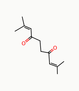 CC(C)=CC(=O)CCC(=O)C=C(C)C